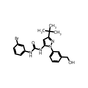 CC(C)(C)c1cc(NC(=O)Nc2cccc(Br)c2)n(-c2cccc(CO)c2)n1